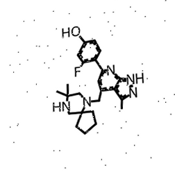 Cc1n[nH]c2nc(-c3ccc(O)cc3F)cc(CN3CC(C)(C)NCC34CCCC4)c12